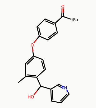 Cc1cc(Oc2ccc(C(=O)C(C)(C)C)cc2)ccc1C(O)c1cccnc1